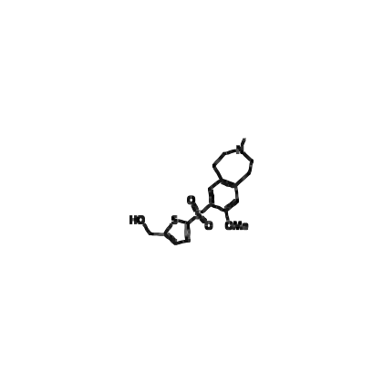 COc1cc2c(cc1S(=O)(=O)c1ccc(CO)s1)CCN(C)CC2